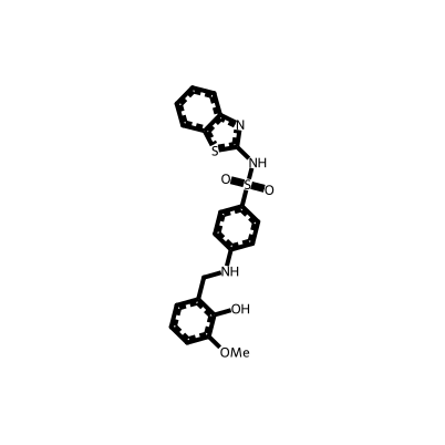 COc1cccc(CNc2ccc(S(=O)(=O)Nc3nc4ccccc4s3)cc2)c1O